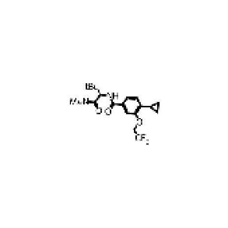 CNC(=O)[C@@H](NC(=O)c1ccc(C2CC2)c(OCC(F)(F)F)c1)C(C)(C)C